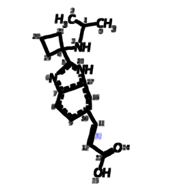 CC(C)NC1(c2nc3ccc(/C=C/C(=O)O)cc3[nH]2)CCC1